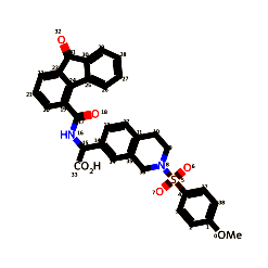 COc1ccc(S(=O)(=O)N2CCc3ccc(C(NC(=O)c4cccc5c4-c4ccccc4C5=O)C(=O)O)cc3C2)cc1